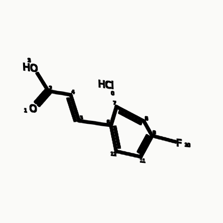 Cl.O=C(O)C=Cc1ccc(F)cc1